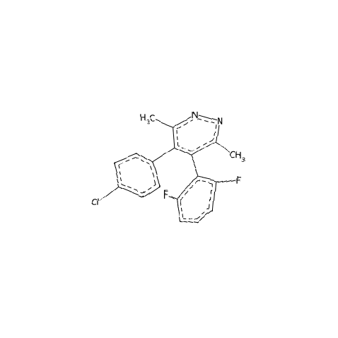 Cc1nnc(C)c(-c2c(F)cccc2F)c1-c1ccc(Cl)cc1